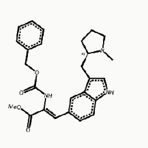 COC(=O)C(=Cc1ccc2[nH]cc(C[C@H]3CCCN3C)c2c1)NC(=O)OCc1ccccc1